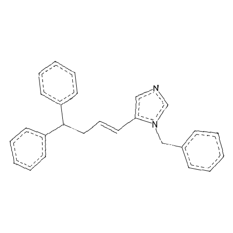 C(=Cc1cncn1Cc1ccccc1)CC(c1ccccc1)c1ccccc1